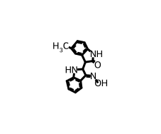 Cc1ccc2c(c1)C(C1Nc3ccccc3/C1=N\O)C(=O)N2